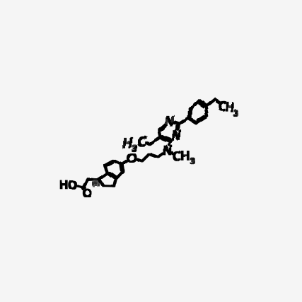 CCc1ccc(-c2ncc(CC)c(N(C)CCCOc3ccc4c(c3)CC[C@H]4CC(=O)O)n2)cc1